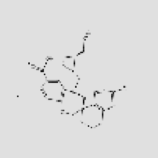 O=CC[C@@H]1CC[C@H]1CN1C[C@@]2(CCCc3cc(Cl)ccc32)COc2ccc(C(=O)O)cc21